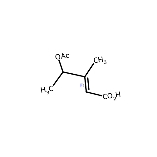 CC(=O)OC(C)/C(C)=C/C(=O)O